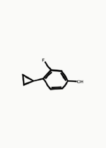 Oc1ccc([C]2CC2)c(F)c1